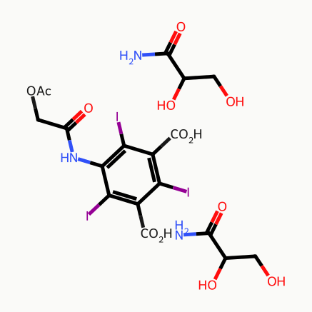 CC(=O)OCC(=O)Nc1c(I)c(C(=O)O)c(I)c(C(=O)O)c1I.NC(=O)C(O)CO.NC(=O)C(O)CO